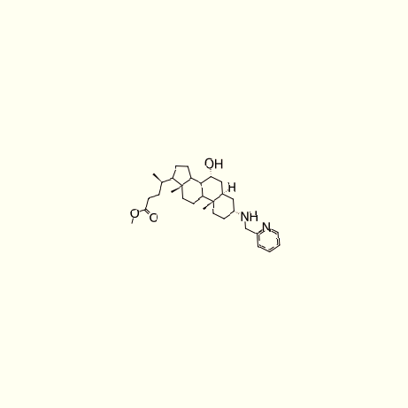 COC(=O)CC[C@@H](C)C1CCC2C3C(CC[C@@]21C)[C@@]1(C)CC[C@@H](NCc2ccccn2)C[C@@H]1C[C@H]3O